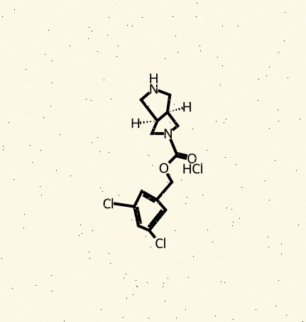 Cl.O=C(OCc1cc(Cl)cc(Cl)c1)N1C[C@H]2CNC[C@H]2C1